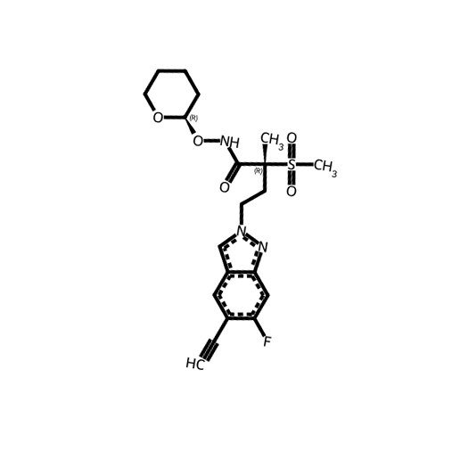 C#Cc1cc2cn(CC[C@](C)(C(=O)NO[C@@H]3CCCCO3)S(C)(=O)=O)nc2cc1F